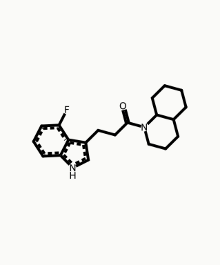 O=C(CCc1c[nH]c2cccc(F)c12)N1CCCC2CCCCC21